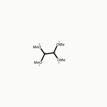 COC(OC)C(OC)OC